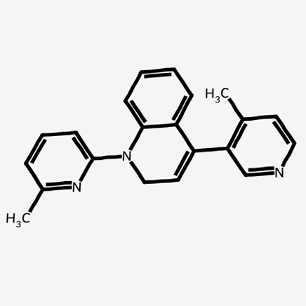 Cc1cccc(N2CC=C(c3cnccc3C)c3ccccc32)n1